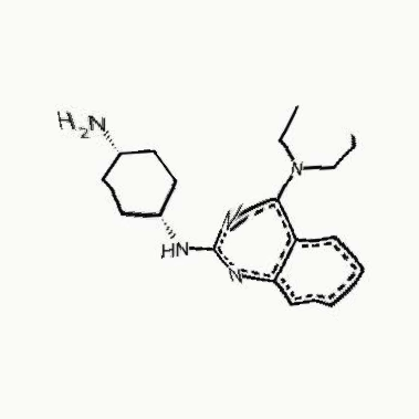 CCN(CC)c1nc(N[C@H]2CC[C@@H](N)CC2)nc2ccccc12